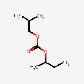 CCC(C)OC(=O)OCC(C)C